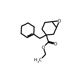 CCOC(=O)C1(CC2=CCCCC2)CCC2OC2C1